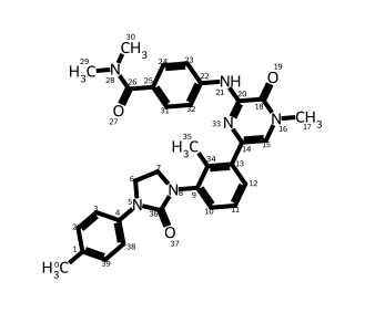 Cc1ccc(N2CCN(c3cccc(-c4cn(C)c(=O)c(Nc5ccc(C(=O)N(C)C)cc5)n4)c3C)C2=O)cc1